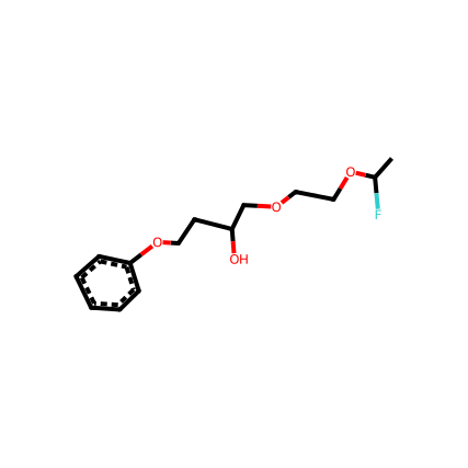 CC(F)OCCOCC(O)CCOc1ccccc1